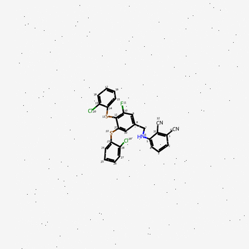 N#Cc1cccc(NCc2cc(F)c(Sc3ccccc3Cl)c(Sc3ccccc3Cl)c2)c1C#N